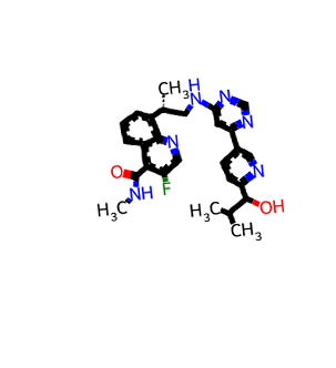 CNC(=O)c1c(F)cnc2c([C@H](C)CNc3cc(-c4ccc(C(O)C(C)C)nc4)ncn3)cccc12